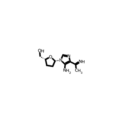 CC(=N)c1ncn([C@@H]2CC[C@H](CO)O2)c1N